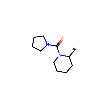 [2H]C1CCCCN1C(=O)N1CCCC1